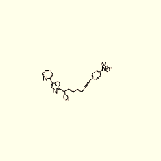 O=C(CCCCC#Cc1ccc([N+](=O)[O-])cc1)c1ncc(-c2ccccn2)o1